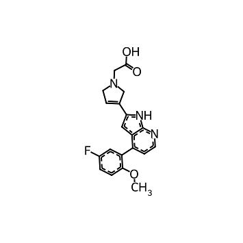 COc1ccc(F)cc1-c1ccnc2[nH]c(C3=CCN(CC(=O)O)C3)cc12